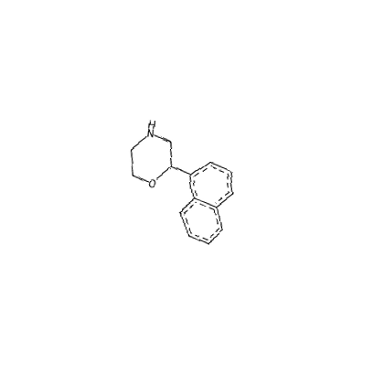 c1ccc2c([C]3CNCCO3)cccc2c1